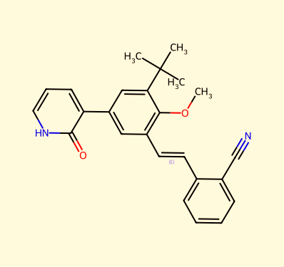 COc1c(/C=C/c2ccccc2C#N)cc(-c2ccc[nH]c2=O)cc1C(C)(C)C